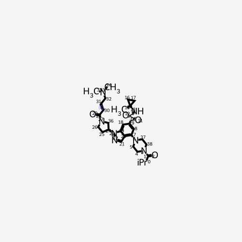 CC(C)C(=O)N1CCN(c2cc(S(=O)(=O)NC3(C)CC3)cc3c2cnn3C2CCN(C(=O)/C=C/CN(C)C)C2)CC1